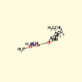 CCCCCOC[C@H](COCCCCCCCCO[C@H]1CC[C@@]2(C)C(=CC[C@H]3[C@@H]4CC[C@H]([C@H](C)CCCC(C)C)[C@@]4(C)CC[C@@H]32)C1)N(C)C